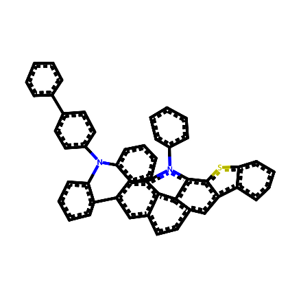 c1ccc(-c2ccc(N(c3ccccc3)c3ccccc3-c3cc4ccc5cc6c7ccccc7sc6c6c5c4c(c3)n6-c3ccccc3)cc2)cc1